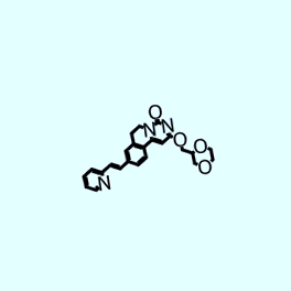 O=c1nc(OCC2COCCO2)cc2n1CCc1cc(C=Cc3ccccn3)ccc1-2